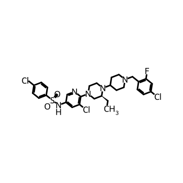 CC[C@H]1CN(c2ncc(NS(=O)(=O)c3ccc(Cl)cc3)cc2Cl)CCN1C1CCN(Cc2ccc(Cl)cc2F)CC1